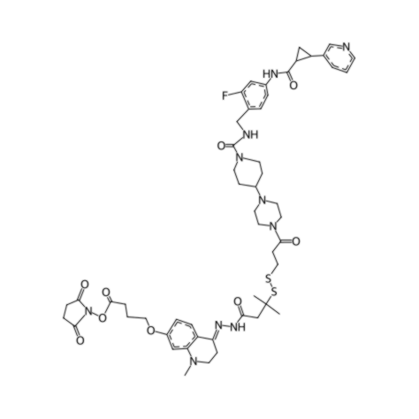 CN1CC/C(=N\NC(=O)CC(C)(C)SSCCC(=O)N2CCN(C3CCN(C(=O)NCc4ccc(NC(=O)C5CC5c5cccnc5)cc4F)CC3)CC2)c2ccc(OCCCC(=O)ON3C(=O)CCC3=O)cc21